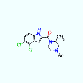 CC(=O)N1CCN(C(=O)c2cc3c(Cl)c(Cl)ccc3[nH]2)[C@@H](C)C1